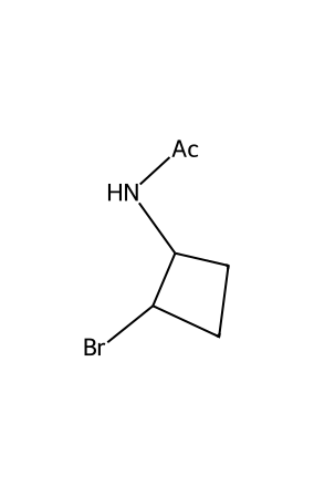 CC(=O)NC1CCC1Br